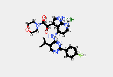 CC(C)c1cnc(-c2ccc(F)cc2)nc1Nc1ccnc2[nH]cc(C(=O)C(=O)N3CCOCC3)c12.Cl